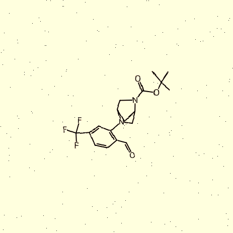 CC(C)(C)OC(=O)N1CC2CC1CN2c1cc(C(F)(F)F)ccc1C=O